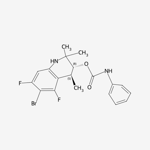 C[C@H]1c2c(cc(F)c(Br)c2F)NC(C)(C)[C@@H]1OC(=O)Nc1ccccc1